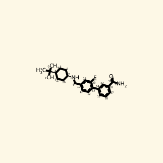 CC(C)(C)[C@H]1CC[C@H](NCc2ccc(-c3cccc(C(N)=O)c3)c(F)c2)CC1